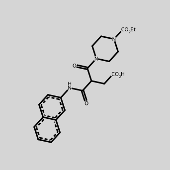 CCOC(=O)N1CCN(C(=O)C(CC(=O)O)C(=O)Nc2ccc3ccccc3c2)CC1